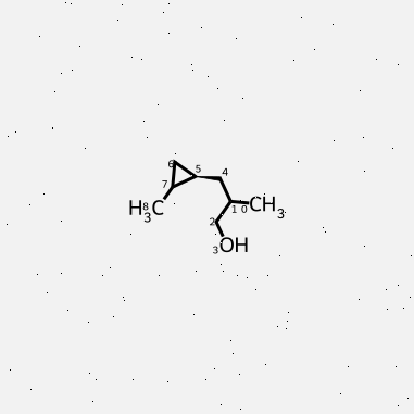 CC(CO)C[C@@H]1CC1C